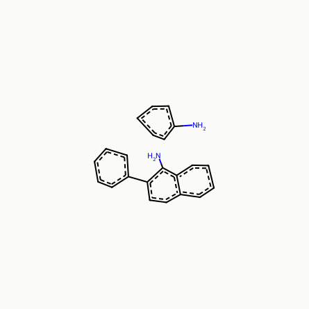 Nc1c(-c2ccccc2)ccc2ccccc12.Nc1ccccc1